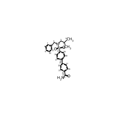 CC(C)CN(Cc1ccccc1)S(=O)(=O)c1ccc(-c2ccc(C(N)=O)cc2)cc1